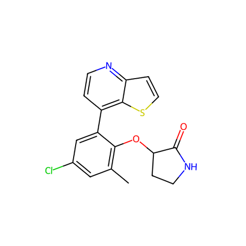 Cc1cc(Cl)cc(-c2ccnc3ccsc23)c1OC1CCNC1=O